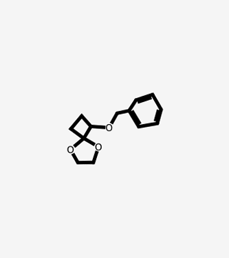 c1ccc(COC2CCC23OCCO3)cc1